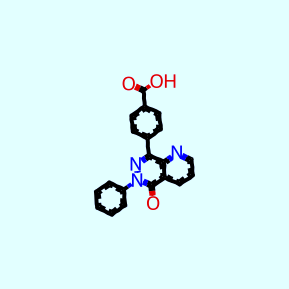 O=C(O)c1ccc(-c2nn(-c3ccccc3)c(=O)c3cccnc23)cc1